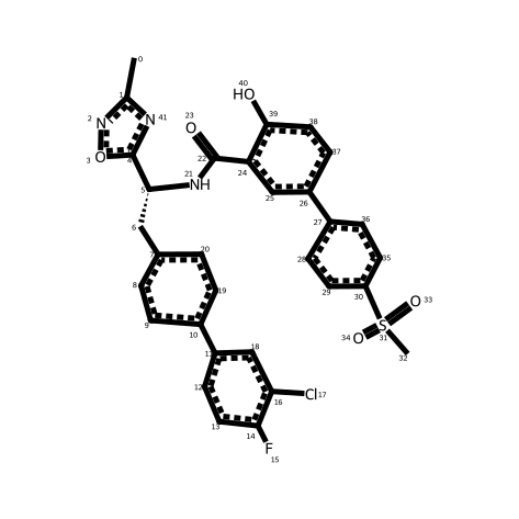 Cc1noc([C@@H](Cc2ccc(-c3ccc(F)c(Cl)c3)cc2)NC(=O)c2cc(-c3ccc(S(C)(=O)=O)cc3)ccc2O)n1